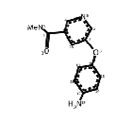 CNC(=O)c1cncc(Oc2ccc(N)cc2)c1